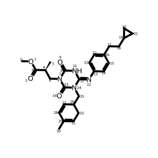 COC(=O)[C@@H](C)Cn1c(=O)[nH]/c(=N\c2ccc(CCC3CC3)cc2)n(CC2C=CC(C)=CC2)c1=O